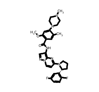 COc1cc(N2CCN(C)CC2)c(C)cc1C(=O)Nc1cnn2ccc(N3CCC[C@@H]3c3cc(F)ccc3F)nc12